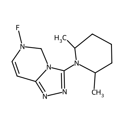 CC1CCCC(C)N1c1nnc2n1CN(F)C=C2